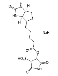 O=C1N[C@H]2[C@H](CS[C@H]2CCCCC(=O)OC2C(=O)NC(=O)C2S(=O)(=O)O)N1.[NaH]